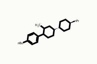 CCCCc1ccc(C2CCC([C@H]3CC[C@H](CCC)CC3)CC2C)cc1